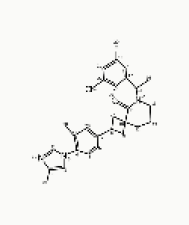 Cc1cn(-c2ccc(C3CC4(CCCN(C(C)c5cc(F)cc(Cl)c5)C4=O)C3)cc2C)cn1